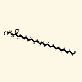 CCCCCCCCCCCCCCCCCCCCCCC(=O)CCCl